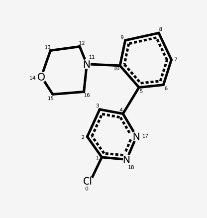 Clc1ccc(-c2ccccc2N2CCOCC2)nn1